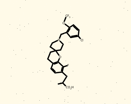 CC(Cc1ccc2c(c1F)OC1(CC2)CCN(Cc2cc(Cl)ccc2OC(F)(F)F)CC1)C(=O)O